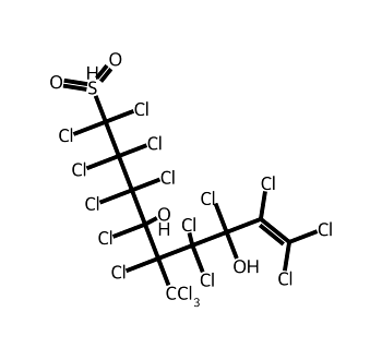 O=[SH](=O)C(Cl)(Cl)C(Cl)(Cl)C(Cl)(Cl)C(O)(Cl)C(Cl)(C(Cl)(Cl)Cl)C(Cl)(Cl)C(O)(Cl)C(Cl)=C(Cl)Cl